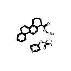 CC(C)(C)OC(=O)C1CCC=c2c1ccc1c2=CCc2ccccc2-1.O=S(=O)(Oc1ccncc1)C(F)(F)F